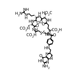 CCCCSSC[C@H](NC(=O)[C@H](CC(=O)O)NC(=O)[C@H](CCCNC(=N)N)NC(=O)[C@H](CC(=O)O)NC(=O)CC[C@H](NC(=O)c1ccc(NCc2cnc3nc(N)[nH]c(=O)c3n2)cc1)C(=O)O)C(=O)O